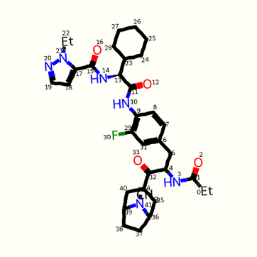 CCC(=O)NC(Cc1ccc(NC(=O)[C@@H](NC(=O)c2ccnn2CC)C2CCCCC2)c(F)c1)C(=O)C1CC2CCC(C1)N2C